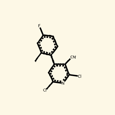 Cc1cc(F)ccc1-c1cc(Cl)nc(Cl)c1C#N